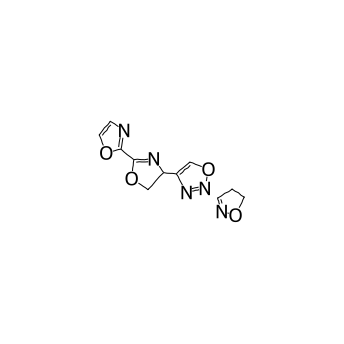 C1=NOCC1.c1coc(C2=NC(c3conn3)CO2)n1